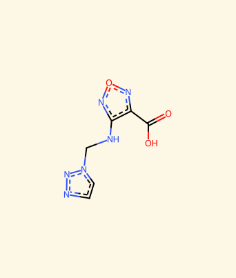 O=C(O)c1nonc1NCn1ccnn1